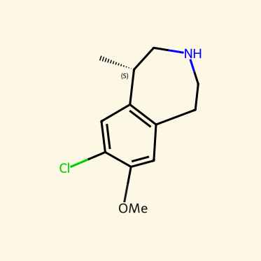 COc1cc2c(cc1Cl)[C@H](C)CNCC2